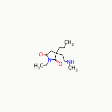 CCCC1(CCNC)CC(=O)N(CC)C1=O